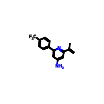 C=C(C)c1cc(N)cc(-c2ccc(C(F)(F)F)cc2)n1